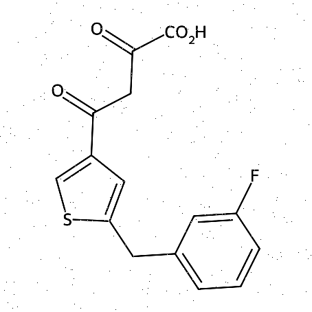 O=C(O)C(=O)CC(=O)c1csc(Cc2cccc(F)c2)c1